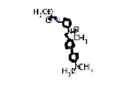 COC(=O)/C=C/c1cccc(N(Cc2ccc(-c3ccc(N(C)C)cc3)cc2)C(C)=O)c1